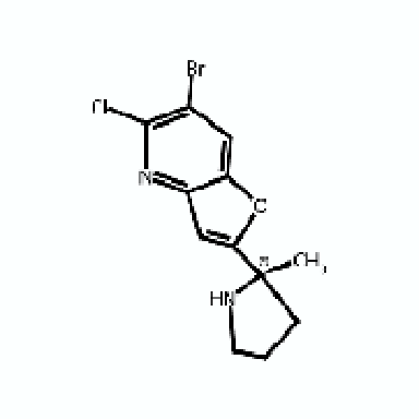 C[C@@]1(c2cc3nc(Cl)c(Br)cc3o2)CCCN1